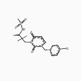 CC(C)(Cn1c(=O)ccn(Cc2ccc(Cl)cc2)c1=O)C(=O)NS(C)(=O)=O